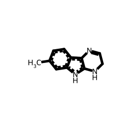 Cc1ccc2c3c([nH]c2c1)NCC=N3